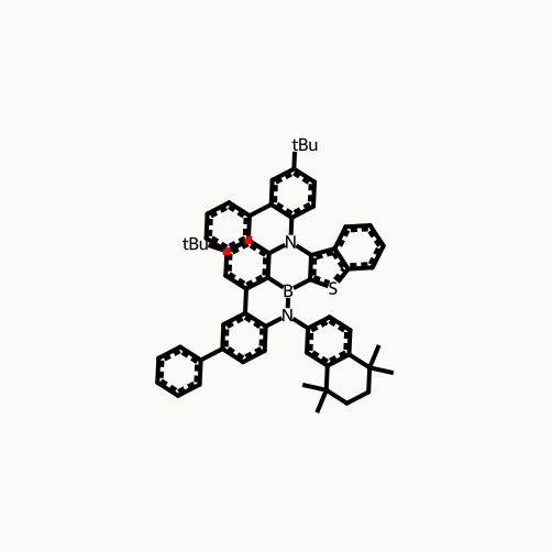 CC(C)(C)c1ccc(N2c3cc(C(C)(C)C)cc4c3B(c3sc5ccccc5c32)N(c2ccc3c(c2)C(C)(C)CCC3(C)C)c2ccc(-c3ccccc3)cc2-4)c(-c2ccccc2)c1